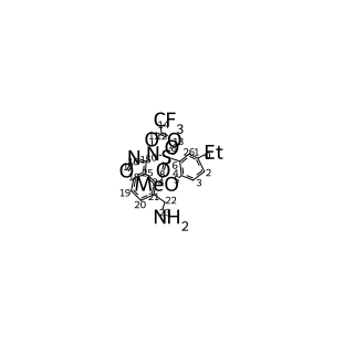 CCc1ccc(OC)c(S(=O)(=O)N(OC(=O)C(F)(F)F)c2noc3ccc(CN)cc23)c1